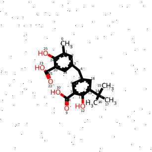 Cc1cc(Cc2cc(C(=O)O)c(O)c(C(C)(C)C)c2)cc(C(=O)O)c1O